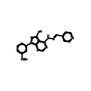 CCCc1nn(-c2cccc(OC)c2)c2ncnc(N/N=C/c3ccncc3)c12